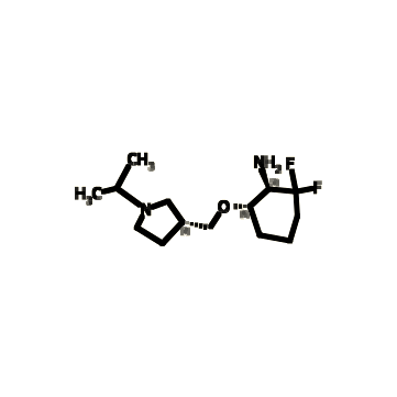 CC(C)N1CC[C@@H](CO[C@H]2CCCC(F)(F)[C@@H]2N)C1